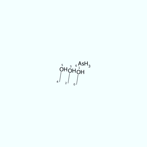 CO.CO.CO.[AsH3]